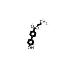 C=CCOC(=O)c1ccc(-c2ccc(O)cc2)cc1